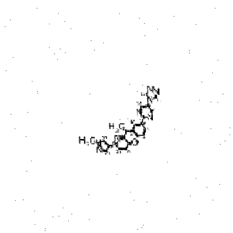 CC(c1cccc(-c2ncc(-n3cnnc3)cn2)c1)c1nn(-c2cnn(C)c2)ccc1=O